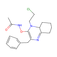 CC(=O)NOC1=C(Cc2ccccc2)N=C2CCCCC2N1CCCl